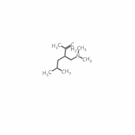 C=C(C)C(CC(C)C)CN(C)C